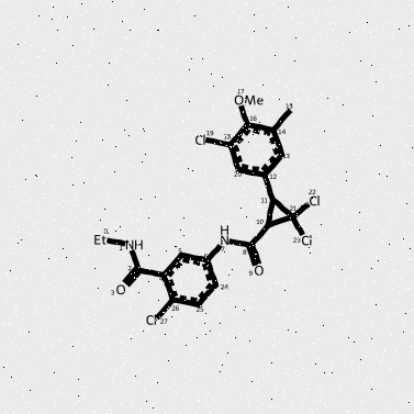 CCNC(=O)c1cc(NC(=O)C2C(c3cc(C)c(OC)c(Cl)c3)C2(Cl)Cl)ccc1Cl